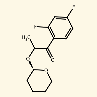 CC(O[C@@H]1CCCCO1)C(=O)c1ccc(F)cc1F